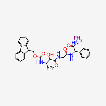 CCCC(NC(=O)OCC1c2ccccc2-c2ccccc21)C(O)C(=O)NCC(=O)N[C@H](C(=O)NP)c1ccccc1